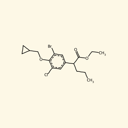 CCCC(C(=O)OCC)c1cc(Cl)c(OCC2CC2)c(Br)c1